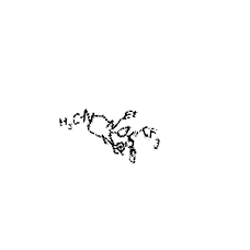 CCN1CN(C)CN(CC)C1OS(=O)(=O)C(F)(F)F